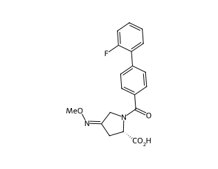 CO/N=C1/C[C@@H](C(=O)O)N(C(=O)c2ccc(-c3ccccc3F)cc2)C1